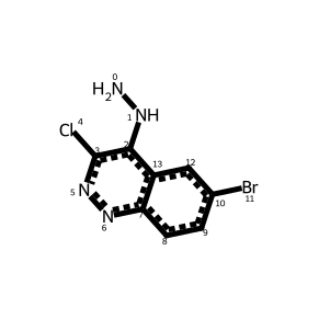 NNc1c(Cl)nnc2ccc(Br)cc12